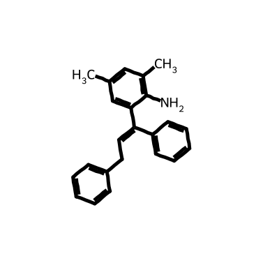 Cc1cc(C)c(N)c(C(=CCc2ccccc2)c2ccccc2)c1